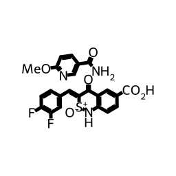 COc1ccc(C(N)=O)cn1.O=C(O)c1ccc2c(c1)C(=O)/C(=C/c1ccc(F)c(F)c1)[S+]([O-])N2